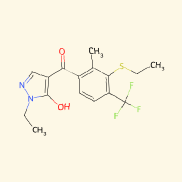 CCSc1c(C(F)(F)F)ccc(C(=O)c2cnn(CC)c2O)c1C